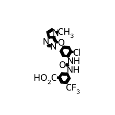 Cn1ccc2ncnc(Oc3ccc(NC(=O)Nc4cc(C(=O)O)cc(C(F)(F)F)c4)c(Cl)c3)c21